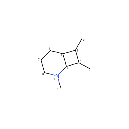 CC1C(C)C2C1CCCN2C